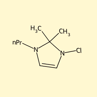 CCCN1C=CN(Cl)C1(C)C